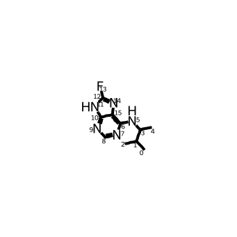 CC(C)C(C)Nc1ncnc2[nH]c(F)nc12